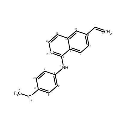 C=Cc1ccc2c(Nc3ccc(OC(F)(F)F)cc3)nccc2c1